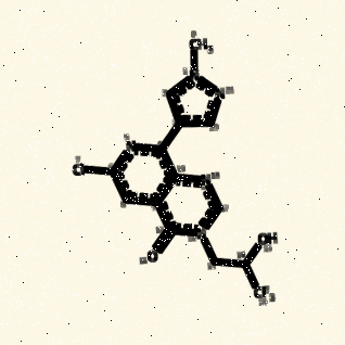 Cn1cc(-c2nc(Cl)cc3c(=O)n(CC(O)C(F)(F)F)cnc23)cn1